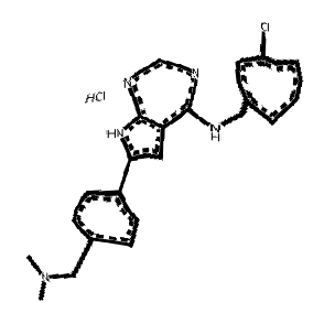 CN(C)Cc1ccc(-c2cc3c(Nc4cccc(Cl)c4)ncnc3[nH]2)cc1.Cl